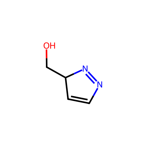 OCC1C=CN=N1